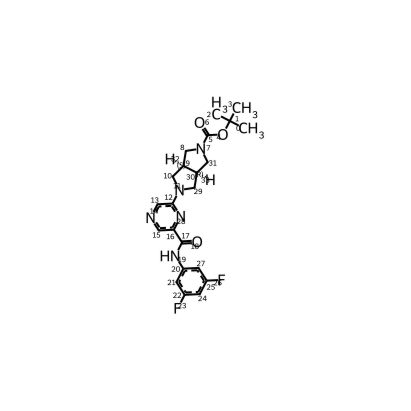 CC(C)(C)OC(=O)N1C[C@@H]2CN(c3cncc(C(=O)Nc4cc(F)cc(F)c4)n3)C[C@@H]2C1